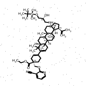 C=C(C)[C@@H]1CC[C@]2(NC[C@@H](O)CO[Si](C)(C)C(C)(C)C)CC[C@]3(C)[C@H](CC[C@@H]4C5(C)CC=C(C6=CC[C@](COc7ncccc7C#N)(C(=O)OCC)CC6)C(C)(C)[C@@H]5CC[C@]43C)[C@@H]12